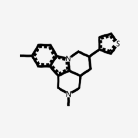 Cc1ccc2c(c1)c1c3n2CC(c2ccsc2)CC3CN(C)C1